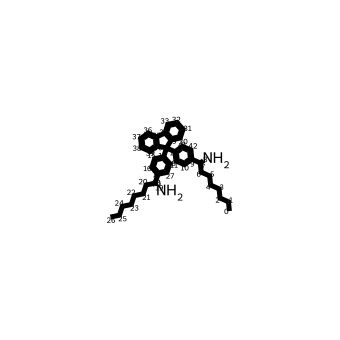 CCCCCCCC(N)c1ccc(C2(c3ccc([C@@H](N)CCCCCCC)cc3)c3ccccc3-c3ccccc32)cc1